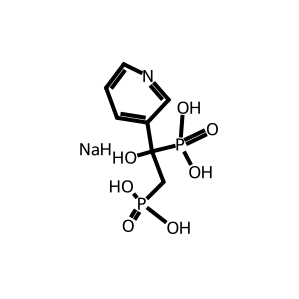 O=P(O)(O)CC(O)(c1cccnc1)P(=O)(O)O.[NaH]